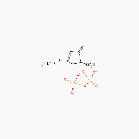 C=C1C=CC=C1C(=O)O.O=P([O-])([O-])OP(=O)([O-])[O-].[K+].[K+].[K+].[K+]